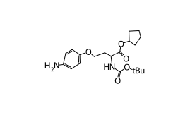 CC(C)(C)OC(=O)NC(CCOc1ccc(N)cc1)C(=O)OC1CCCC1